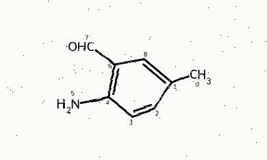 Cc1ccc(N)c([C]=O)c1